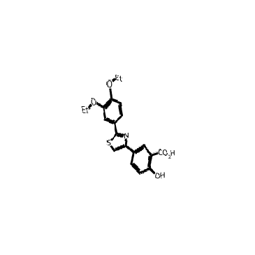 CCOc1ccc(-c2nc(-c3ccc(O)c(C(=O)O)c3)cs2)cc1OCC